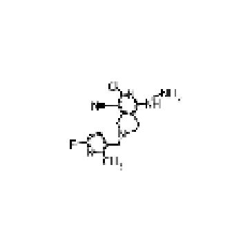 Cc1nc(F)ccc1CN1CCc2c(NCN)nc(Cl)c(C#N)c2C1